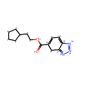 O=C(OCCC1CCCC1)C1=CC=C2N=NN=C2C1